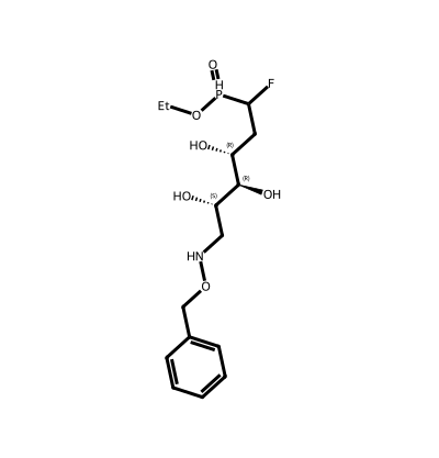 CCO[PH](=O)C(F)C[C@@H](O)[C@@H](O)[C@@H](O)CNOCc1ccccc1